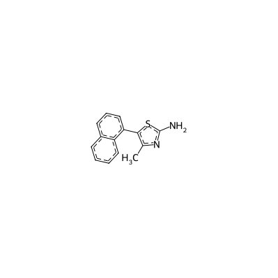 Cc1nc(N)sc1-c1cccc2ccccc12